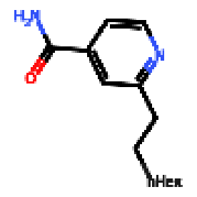 CCCCCCCCc1cc(C(N)=O)ccn1